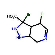 O=C(O)C1(Br)NNC2CN=CC(F)C21